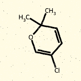 CC1(C)C=CC(Cl)=CO1